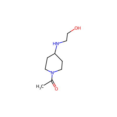 CC(=O)N1CCC(NCCO)CC1